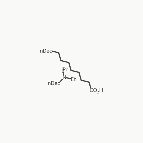 CCCCCCCCCCCCCCCCCC(=O)O.CCCCCCCCCCN(CC)C(C)C